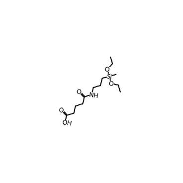 CCO[Si](C)(CCCNC(=O)CCCC(=O)O)OCC